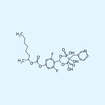 CCCCCCC(C)OC(=O)Oc1cc(F)c(C2OP(=O)(O)C(O)(Cc3cccnc3)P(=O)(O)O2)c(F)c1